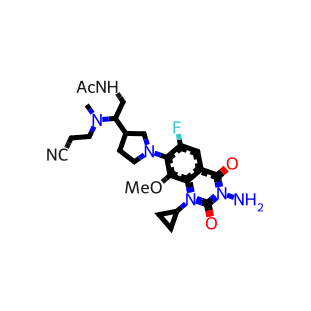 COc1c(N2CCC(C(CNC(C)=O)N(C)CCC#N)C2)c(F)cc2c(=O)n(N)c(=O)n(C3CC3)c12